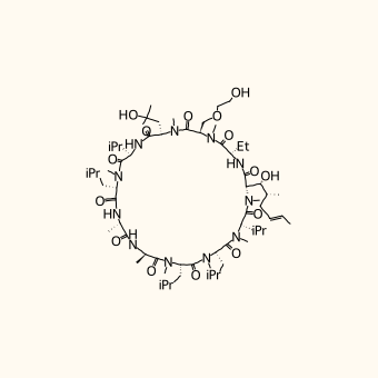 C/C=C/C[C@@H](C)[C@@H](O)[C@H]1C(=O)N[C@@H](CC)C(=O)N(C)[C@H](COCCO)C(=O)N(C)[C@@H](CC(C)(C)O)C(=O)N[C@@H](C(C)C)C(=O)N(C)[C@@H](CC(C)C)C(=O)N[C@@H](C)C(=O)N[C@H](C)C(=O)N(C)[C@@H](CC(C)C)C(=O)N(C)[C@@H](CC(C)C)C(=O)N(C)[C@@H](C(C)C)C(=O)N1C